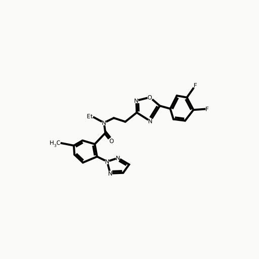 CCN(CCc1noc(-c2ccc(F)c(F)c2)n1)C(=O)c1cc(C)ccc1-n1nccn1